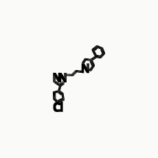 Clc1ccc(-c2cnn(CCCCN3CC=C(c4ccccc4)CC3)c2)cc1